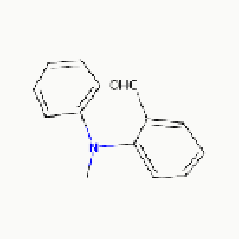 CN(c1ccccc1)c1ccccc1C=O